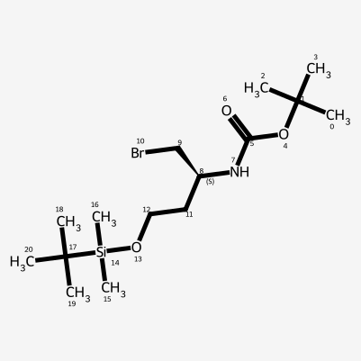 CC(C)(C)OC(=O)N[C@H](CBr)CCO[Si](C)(C)C(C)(C)C